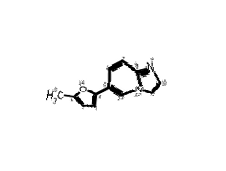 Cc1ccc(-c2ccc3nccn3c2)o1